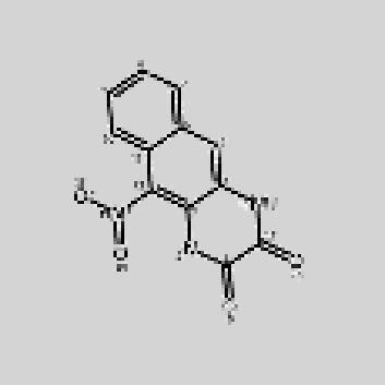 O=C1[N]c2c(cc3ccccc3c2[N+](=O)[O-])NC1=O